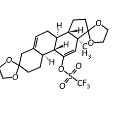 C[C@]12C=C(OS(=O)(=O)C(F)(F)F)[C@H]3[C@@H](CC=C4CC5(CC[C@@H]43)OCCO5)[C@@H]1CCC21OCCO1